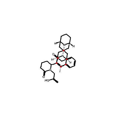 C=C(O)CN1C(=O)CCCC1c1nc2ccccc2n([C@H]2C[C@H]3CCC[C@@H](C2)N3[C@H]2C[C@@H]3C[C@@H](C)C[C@@H](C3)C2)c1=O